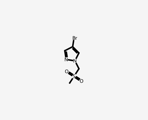 CS(=O)(=O)Cn1cc(Br)cn1